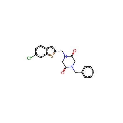 O=C1CN(Cc2cc3ccc(Cl)cc3s2)C(=O)CN1Cc1cc[c]cc1